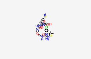 Cc1ncsc1-c1ccc([C@H](C)NC(=O)[C@@H]2C[C@@H](O)CN2C(=O)[C@@H](NC(=O)CN2CCC(O[C@H]3C[C@H](NC(=O)C[C@@H]4N=C(c5ccc(Cl)cc5)c5c(sc(C)c5C)-n5cnnc54)C3)CC2)C(C)(C)C)cc1